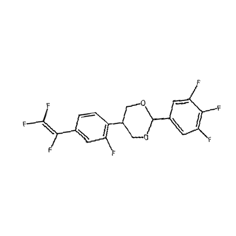 FC(F)=C(F)c1ccc(C2COC(c3cc(F)c(F)c(F)c3)OC2)c(F)c1